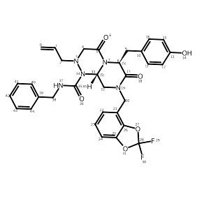 C=CCN1CC(=O)N2[C@@H](Cc3ccc(O)cc3)C(=O)N(Cc3cccc4c3OC(F)(F)O4)C[C@@H]2N1C(=O)NCc1ccccc1